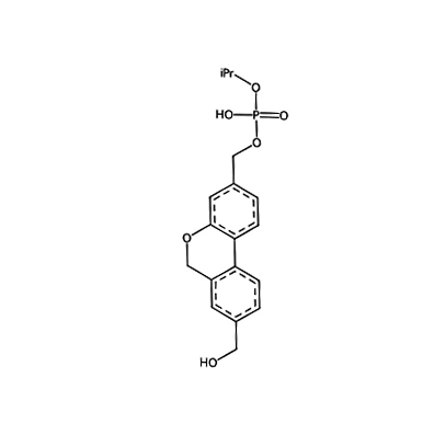 CC(C)OP(=O)(O)OCc1ccc2c(c1)OCc1cc(CO)ccc1-2